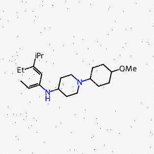 C/C=C(\C=C(/CC)C(C)C)NC1CCN(C2CCC(OC)CC2)CC1